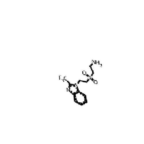 NCCS(=O)(=O)CCn1c(C(F)(F)F)nc2ccccc21